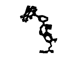 COC(=O)CCc1cc2c(cc1F)NC(c1cccc(B3OC(C)(C)C(C)(C)O3)c1)CO2